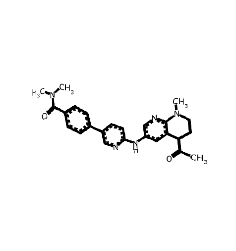 CC(=O)C1CCN(C)c2ncc(Nc3ccc(-c4ccc(C(=O)N(C)C)cc4)cn3)cc21